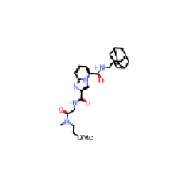 COCCN(C)C(=O)CNC(=O)c1cn2c(C(=O)NCC34CC5CC(CC(C5)C3)C4)cccc2n1